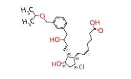 CC(C)OCc1cccc(CC(O)/C=C/[C@@H]2[C@@H](C/C=C\CCCC(=O)O)[C@H](Cl)C[C@H]2O)c1